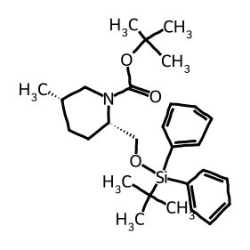 C[C@H]1CC[C@@H](CO[Si](c2ccccc2)(c2ccccc2)C(C)(C)C)N(C(=O)OC(C)(C)C)C1